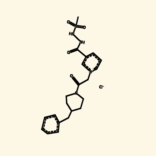 CS(=O)(=O)NNC(=O)c1ccc[n+](CC(=O)N2CCC(Cc3ccccc3)CC2)c1.[Cl-]